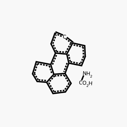 NC(=O)O.c1cc2cccc3c4cccc5cccc(c(c1)c23)c54